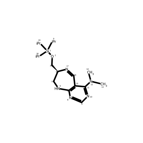 CC(C)[Si](OC[C@@H]1CNc2ncnc(N(C)C)c2C=N1)(C(C)C)C(C)C